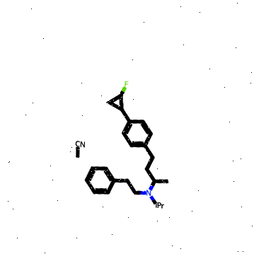 CC#N.CC(C)N(CCc1ccccc1)C(C)CCc1ccc(C2CC2F)cc1